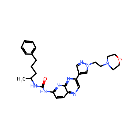 CC(CCCc1ccccc1)NC(=O)Nc1ccc2ncc(-c3cnn(CCN4CCOCC4)c3)nc2n1